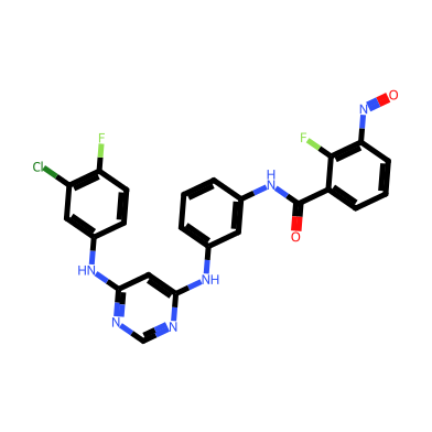 O=Nc1cccc(C(=O)Nc2cccc(Nc3cc(Nc4ccc(F)c(Cl)c4)ncn3)c2)c1F